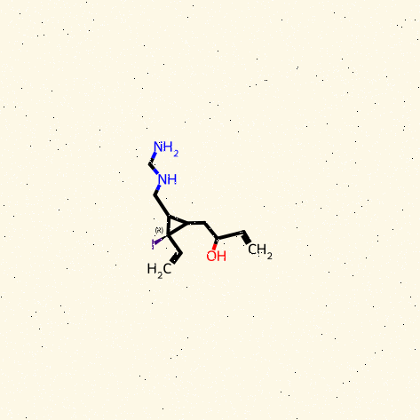 C=CC(O)CC1C(CNCN)[C@@]1(I)C=C